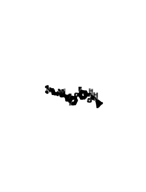 CN(C)CCn1cc(-c2cc3nccc(Oc4ccc(NC(=O)NC5CC5)cc4F)c3s2)nn1